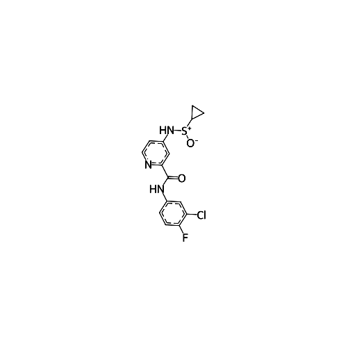 O=C(Nc1ccc(F)c(Cl)c1)c1cc(N[S+]([O-])C2CC2)ccn1